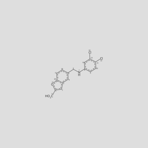 O=C(O)c1cc2cc(CNc3ccc(Cl)c(Cl)c3)ccc2o1